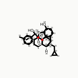 CO[C@]12CC[C@@]3(C[C@@H]1[C@](C)(O)c1cccc(C)c1)[C@H]1Cc4ccc(O)c5c4[C@@]3(CCN1CC1CC1)[C@H]2O5